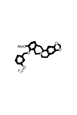 COc1ccc2c(c1OCc1cccc(OC(F)(F)F)c1)CN1CCc3cc4c(cc3C1C2)OCO4